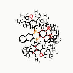 COc1c(C(C)(C)C)cc(P(c2cc(C(C)(C)C)c(OC)c(C(C)(C)C)c2)c2cc3ccccc3c(-c3cccc4ccccc34)c2P(c2cc(C(C)(C)C)c(OC)c(C(C)(C)C)c2)c2cc(C(C)(C)C)c(OC)c(C(C)(C)C)c2)cc1C(C)(C)C